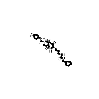 CCCN1C(=O)[C@H](CCCCNC(=O)OCc2ccccc2)NC(=O)C12CCN(C(=O)Nc1ccc(C(F)(F)F)cc1)CC2